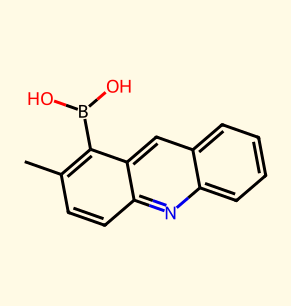 Cc1ccc2nc3ccccc3cc2c1B(O)O